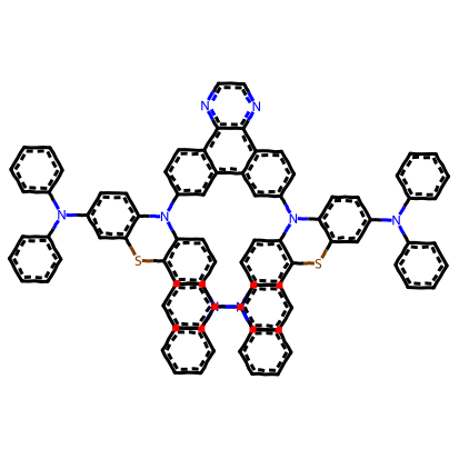 c1ccc(N(c2ccccc2)c2ccc3c(c2)Sc2cc(N(c4ccccc4)c4ccccc4)ccc2N3c2ccc3c(c2)c2cc(N4c5ccc(N(c6ccccc6)c6ccccc6)cc5Sc5cc(N(c6ccccc6)c6ccccc6)ccc54)ccc2c2nccnc32)cc1